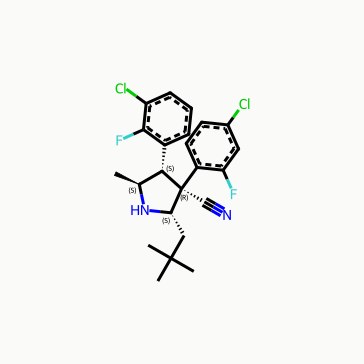 C[C@@H]1N[C@@H](CC(C)(C)C)[C@](C#N)(c2ccc(Cl)cc2F)[C@H]1c1cccc(Cl)c1F